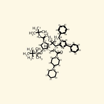 CC(C)(C)OC(=O)N1C[C@H](CN(C(=O)N2CCC(N3CCCCC3)CC2)[C@@H](c2nc(-c3ccccc3)cn2Cc2ccccc2)C(C)(C)C)[C@@H](O[Si](C)(C)C(C)(C)C)C1